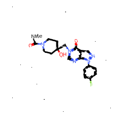 CNC(=O)N1CCC(O)(Cn2cnc3c(cnn3-c3ccc(F)cc3)c2=O)CC1